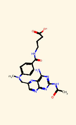 CC(=O)Nc1nc(N)c2nc(CN(C)c3ccc(C(=O)NCCCC(=O)O)cc3)cnc2n1